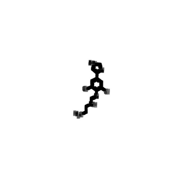 CCCNC=Nc1c(Cl)cc(-c2c[nH]cn2)cc1Cl